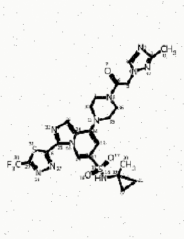 Cc1ncn(CC(=O)N2CCN(c3cc(S(=O)(=O)NC4(C)CC4)cn4c(-c5nnc(C(F)(F)F)s5)ncc34)CC2)n1